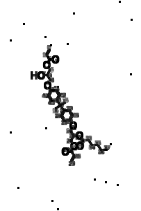 C=CC(=O)OCC(O)COc1ccc(C(C)(C)c2ccc(OCC(COC(=O)C=C)OC(=O)CCCCC)cc2)cc1